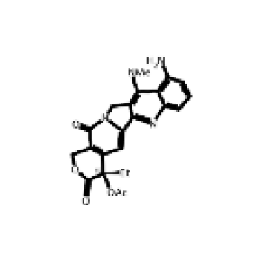 CC[C@@]1(OC(C)=O)C(=O)OCc2c1cc1n(c2=O)Cc2c-1nc1cccc(N)c1c2NC